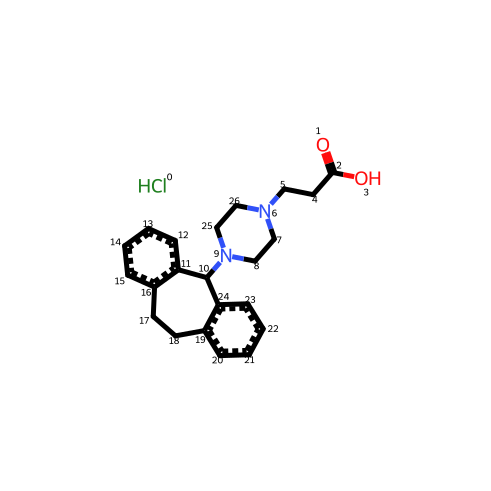 Cl.O=C(O)CCN1CCN(C2c3ccccc3CCc3ccccc32)CC1